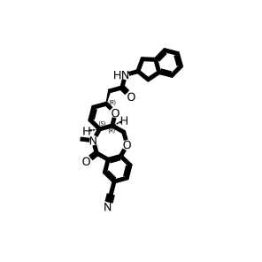 CN1C(=O)c2cc(C#N)ccc2OC[C@@H]2O[C@H](CC(=O)NC3Cc4ccccc4C3)C=C[C@@H]21